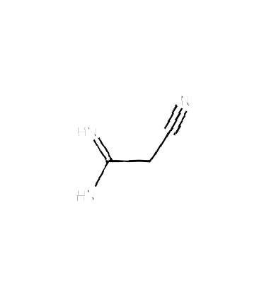 N#CCC([NH])=N